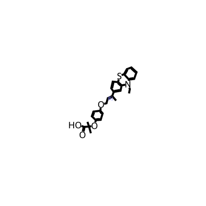 CCN1c2ccccc2Sc2ccc(/C(C)=C/COc3ccc(OC(C)(C)C(=O)O)cc3)cc21